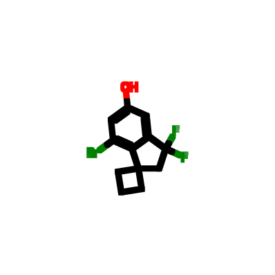 Oc1cc(Br)c2c(c1)C(F)(F)CC21CCC1